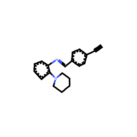 C#Cc1ccc(/C=N/c2ccccc2N2CCCCC2)cc1